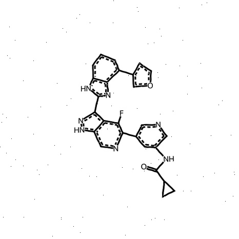 O=C(Nc1cncc(-c2ncc3[nH]nc(-c4nc5c(-c6ccoc6)cccc5[nH]4)c3c2F)c1)C1CC1